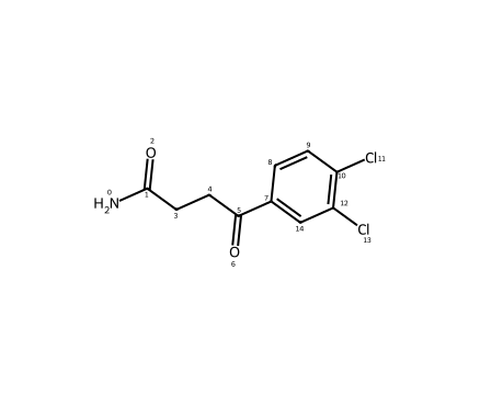 NC(=O)CCC(=O)c1ccc(Cl)c(Cl)c1